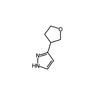 c1cc(C2CCOC2)n[nH]1